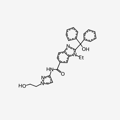 CCn1c(C(O)(c2ccccc2)c2ccccc2)nc2ccc(C(=O)Nc3ccn(CCO)n3)cc21